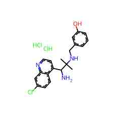 CC(C)(NCc1cccc(O)c1)C(N)c1ccnc2cc(Cl)ccc12.Cl.Cl